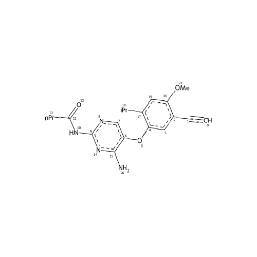 C#Cc1cc(Oc2cnc(NC(=O)CCC)nc2N)c(C(C)C)cc1OC